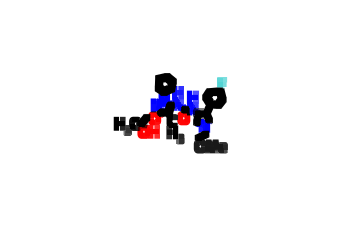 COCCN1CC(c2ccc(F)cc2)[C@H](NC(=O)Nc2c(C)c(OC[C@@H](C)O)nn2-c2ccccc2)C1